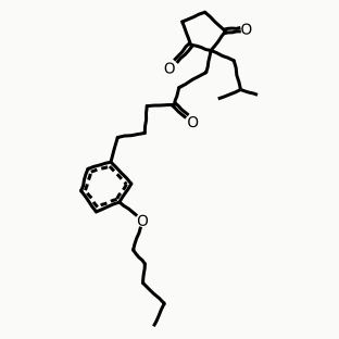 CCCCCOc1cccc(CCCC(=O)CCC2(CC(C)C)C(=O)CCC2=O)c1